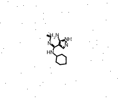 C=C/N=C(/NC1CCCCC1)c1cn[nH]c1N